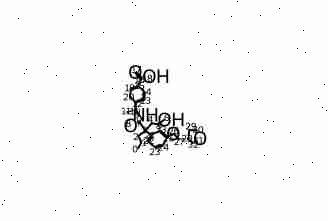 CCCC(CCO)(C(=O)N[C@@H](C)C1=C=CC(C(=O)O)=CC1)c1cccc(OC[C@@H]2CCOC2)c1